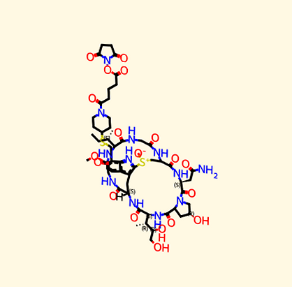 CC[C@H](C)C1NC(=O)CNC(=O)[C@@H]2Cc3c([nH]c4c(CSC5CCN(C(=O)CCCC(=O)ON6C(=O)CCC6=O)CC5)c(OC)ccc34)[S+]([O-])CC(NC(=O)CNC1=O)C(=O)N[C@@H](CC(N)=O)C(=O)N1C[C@H](O)CC1C(=O)N[C@@H]([C@@H](C)[C@@H](O)CO)C(=O)N2